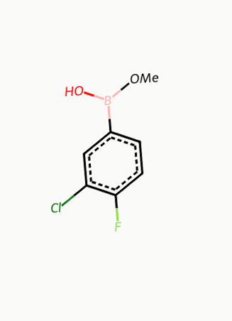 COB(O)c1ccc(F)c(Cl)c1